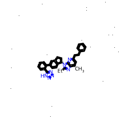 CCc1nc2c(C)cc(CCc3ccccc3)nc2n1[C@H]1CCc2cc(-c3ccccc3-c3nnn[nH]3)ccc21